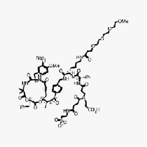 COCCOCCOCCOCCC(=O)NCCCC[C@H](NC(=O)[C@@H](NC(=O)CCN(CCC(=O)O)C(=O)CCC(=O)NCCS(=O)(=O)[O-])C(C)C)C(=O)NCc1ccc([C@H]2O[C@@H]2[C@@H](C)[C@@H]2C/C=C/C(=O)N[C@H](Cc3ccc(OC)c(Cl)c3)C(=O)NCC(C)(C)C(=O)O[C@@H](CC(C)C)C(=O)O2)cc1.[Na+]